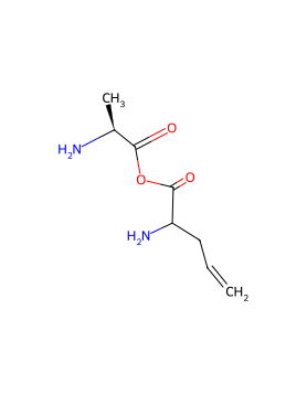 C=CCC(N)C(=O)OC(=O)[C@H](C)N